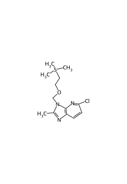 Cc1nc2ccc(Cl)nc2n1COCCS(C)(C)C